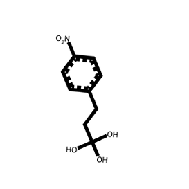 O=[N+]([O-])c1ccc(CCC(O)(O)O)cc1